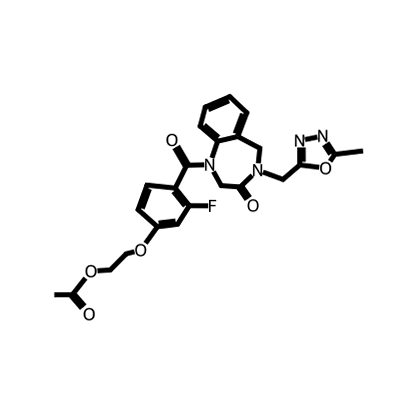 CC(=O)OCCOc1ccc(C(=O)N2CC(=O)N(Cc3nnc(C)o3)Cc3ccccc32)c(F)c1